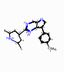 COc1ccc(-c2cnc3cnc(C4CC(C)NC(C)C4)[nH]c2-3)cc1